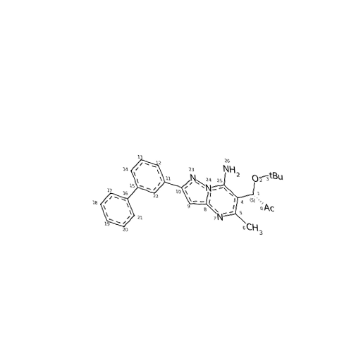 CC(=O)[C@@H](OC(C)(C)C)c1c(C)nc2cc(-c3cccc(-c4ccccc4)c3)nn2c1N